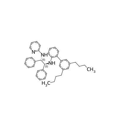 CCCCc1cc(CCCC)cc(-c2ccccc2N[C@@H](c2ccccc2)[C@@H](Nc2ccccn2)c2ccccc2)c1